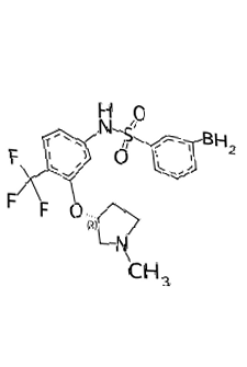 Bc1cccc(S(=O)(=O)Nc2ccc(C(F)(F)F)c(O[C@@H]3CCN(C)C3)c2)c1